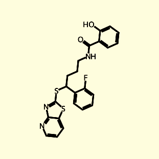 O=C(NCCCC(Sc1nc2ncccc2s1)c1ccccc1F)c1ccccc1O